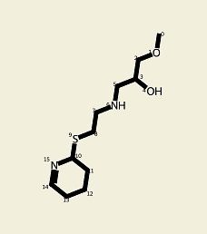 COCC(O)CNCCSC1CCCC=N1